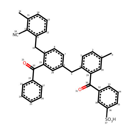 Cc1ccc(Cc2ccc(Cc3cccc(C)c3C#N)c(C(=O)c3ccccc3)c2)c(C(=O)c2cccc(S(=O)(=O)O)c2)c1